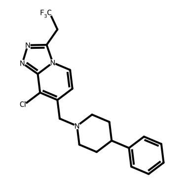 FC(F)(F)Cc1nnc2c(Cl)c(CN3CCC(c4ccccc4)CC3)ccn12